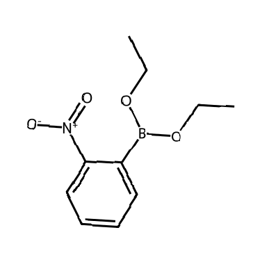 CCOB(OCC)c1ccccc1[N+](=O)[O-]